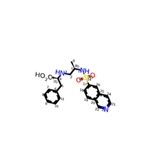 C[C@H](CN[C@@H](Cc1ccccc1)C(=O)O)NS(=O)(=O)c1ccc2cnccc2c1